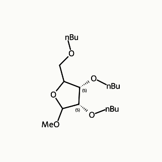 CCCCOCC1OC(OC)[C@@H](OCCCC)[C@H]1OCCCC